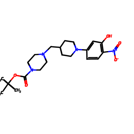 CC(C)(C)OC(=O)N1CCN(CC2CCN(c3ccc([N+](=O)[O-])c(O)c3)CC2)CC1